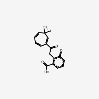 CC1(I)C=CC=CC(C(=O)Cn2c(C(=O)O)cccc2=O)=C1